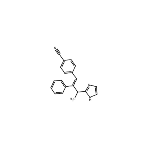 CC(C(=Cc1ccc(C#N)cc1)c1ccccc1)c1ncc[nH]1